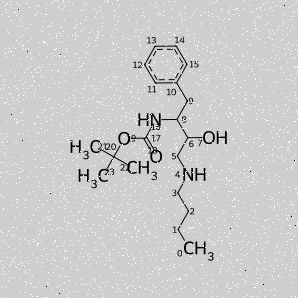 CCCCNCC(O)C(Cc1ccccc1)NC(=O)OC(C)(C)C